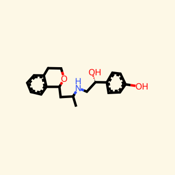 CC(CC1OCCc2ccccc21)NC[C@H](O)c1ccc(O)cc1